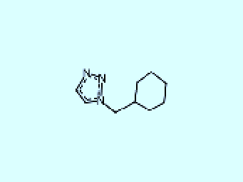 c1cn(CC2CCCCC2)nn1